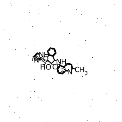 COc1ccccc1C(Nc1cccc2nc(C)ccc12)C(O)(CSc1ncc[nH]1)C(F)(F)F